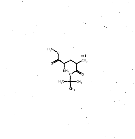 CC(CC(N)C(=O)ON)C(=O)OC(C)(C)C.Cl